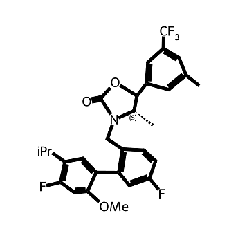 COc1cc(F)c(C(C)C)cc1-c1cc(F)ccc1CN1C(=O)OC(c2cc(C)cc(C(F)(F)F)c2)[C@@H]1C